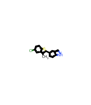 Cc1c(-c2ccc3[nH]ncc3c2)sc2ccc(Cl)cc12